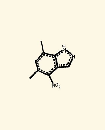 Cc1cc(C)c2[nH]ncc2c1[N+](=O)[O-]